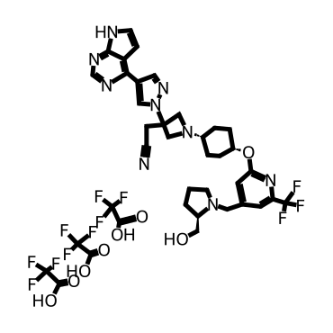 N#CCC1(n2cc(-c3ncnc4[nH]ccc34)cn2)CN([C@H]2CC[C@@H](Oc3cc(CN4CCC[C@@H]4CO)cc(C(F)(F)F)n3)CC2)C1.O=C(O)C(F)(F)F.O=C(O)C(F)(F)F.O=C(O)C(F)(F)F